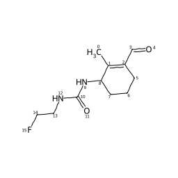 CC1=C(C=O)CCCC1NC(=O)NCCF